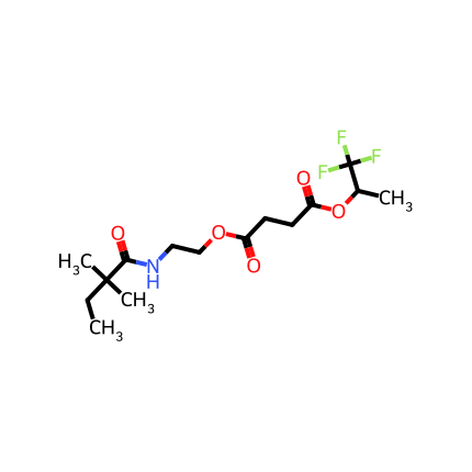 CCC(C)(C)C(=O)NCCOC(=O)CCC(=O)OC(C)C(F)(F)F